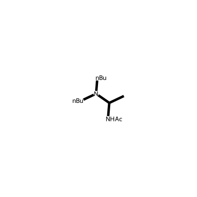 CCCCN(CCCC)C(C)NC(C)=O